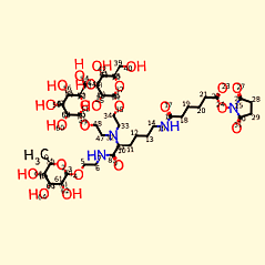 C[C@@H]1O[C@@H](OCCNC(=O)[C@H](CCCCNC(=O)CCCCC(=O)ON2C(=O)CCC2=O)N(CCO[C@H]2O[C@H](CO)[C@@H](O)[C@H](O)[C@@H]2O)CCO[C@H]2O[C@H](CO)[C@@H](O)[C@H](O)[C@@H]2O)[C@@H](O)[C@H](O)[C@@H]1O